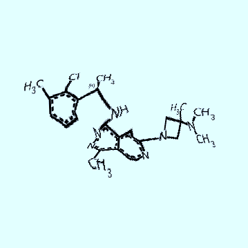 Cc1cccc([C@@H](C)Nc2nnc(C)c3cnc(N4CC(C)(N(C)C)C4)cc23)c1Cl